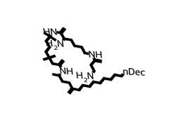 C=C(CCCCCCCCCCCCCCCCCCC)CCC(C)NC(=C)CC(C)(C)CCCC(C)(C)NC(=C)C(N)CCCCNC(=C)CCN